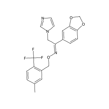 Cc1ccc(C(F)(F)F)c(CO/N=C(\Cn2ccnc2)c2ccc3c(c2)OCO3)c1